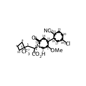 COc1cn(C(CC2(C(F)(F)F)CCC2)C(=O)O)c(=O)cc1-c1cc(Cl)ccc1C#N